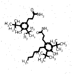 CC(C)(C)c1cc(CCC(N)=O)cc(C(C)(C)C)c1O.CCCCCCc1c(CCC(N)=O)cc(C(C)(C)C)c(O)c1C(C)(C)C